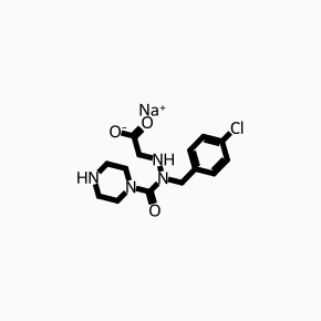 O=C([O-])CNN(Cc1ccc(Cl)cc1)C(=O)N1CCNCC1.[Na+]